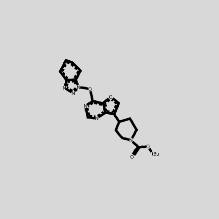 CC(C)(C)OC(=O)N1CCC(c2coc3c(On4nnc5ccccc54)ncnc23)CC1